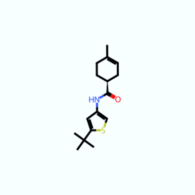 CC1=CC[C@@H](C(=O)Nc2csc(C(C)(C)C)c2)CC1